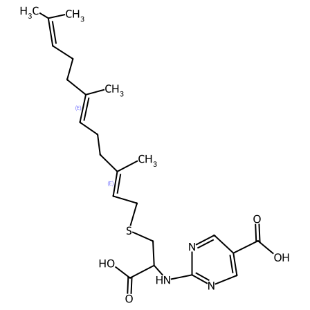 CC(C)=CCC/C(C)=C/CC/C(C)=C/CSCC(Nc1ncc(C(=O)O)cn1)C(=O)O